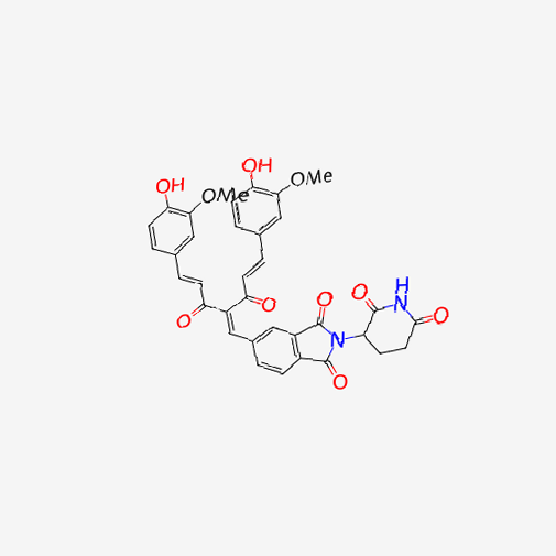 COc1cc(/C=C/C(=O)C(=Cc2ccc3c(c2)C(=O)N(C2CCC(=O)NC2=O)C3=O)C(=O)/C=C/c2ccc(O)c(OC)c2)ccc1O